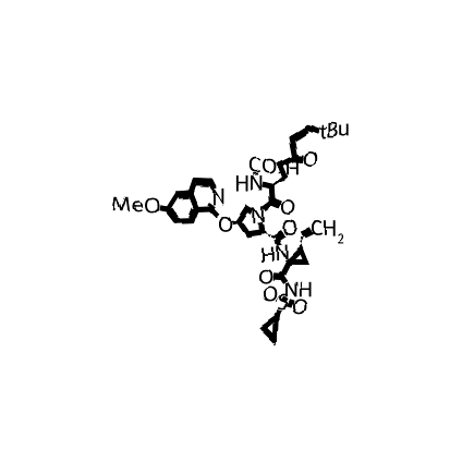 C=C[C@@H]1C[C@]1(NC(=O)[C@@H]1C[C@@H](Oc2nccc3cc(OC)ccc23)CN1C(=O)[C@H](CCC(=O)/C=C\C(C)(C)C)NC(=O)O)C(=O)NS(=O)(=O)C1CC1